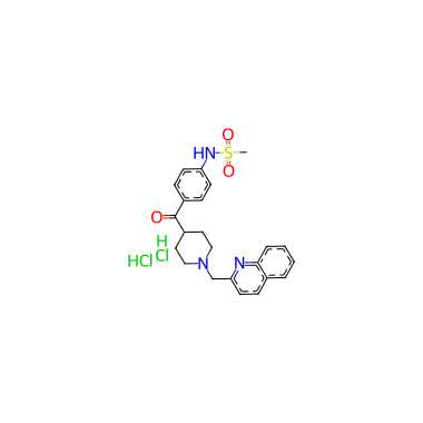 CS(=O)(=O)Nc1ccc(C(=O)C2CCN(Cc3ccc4ccccc4n3)CC2)cc1.Cl.Cl